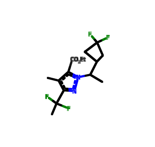 CCOC(=O)c1c(C)c(C(C)(F)F)nn1C(C)C1CC(F)(F)C1